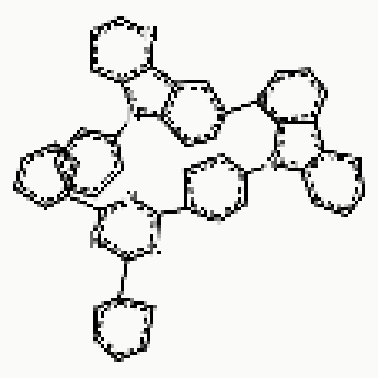 c1ccc(-c2nc(-c3ccccc3)nc(-c3ccc(-n4c5ccccc5c5cccc(-c6ccc7c(c6)c6ncccc6n7-c6ccccc6)c54)cc3)n2)cc1